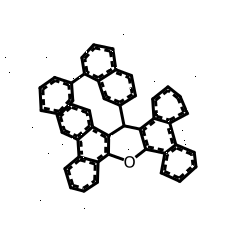 c1ccc(-c2cccc3ccc(C4c5c(c6ccccc6c6ccccc56)Oc5c4c4ccccc4c4ccccc54)cc23)cc1